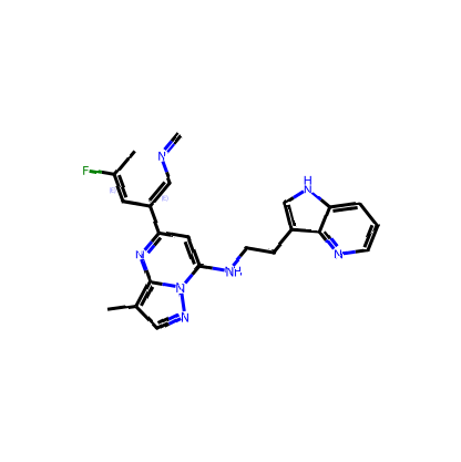 C=N/C=C(\C=C(/C)F)c1cc(NCCc2c[nH]c3cccnc23)n2ncc(C)c2n1